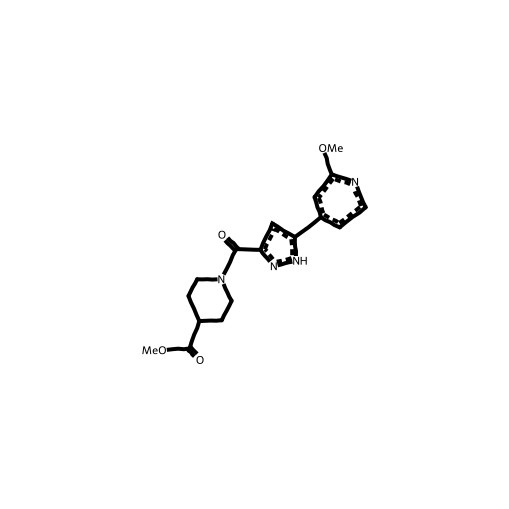 COC(=O)C1CCN(C(=O)c2cc(-c3ccnc(OC)c3)[nH]n2)CC1